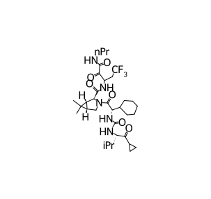 CCCNC(=O)C(=O)C(CC(F)(F)F)NC(=O)[C@@H]1[C@@H]2[C@H](CN1C(=O)[C@@H](NC(=O)N[C@H](C(=O)C1CC1)C(C)C)C1CCCCC1)C2(C)C